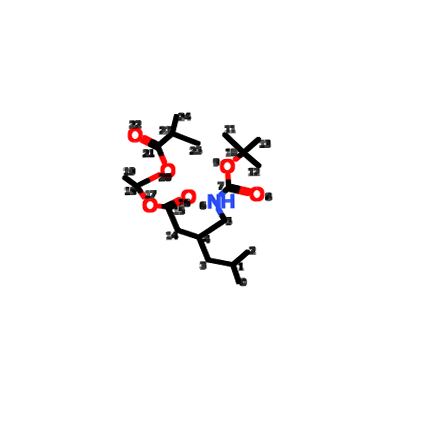 CC(C)CC(CNC(=O)OC(C)(C)C)CC(=O)OC(C)OC(=O)C(C)C